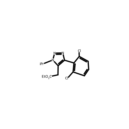 CCOC(=O)Cc1c(-c2c(Cl)cccc2Cl)nnn1C(C)C